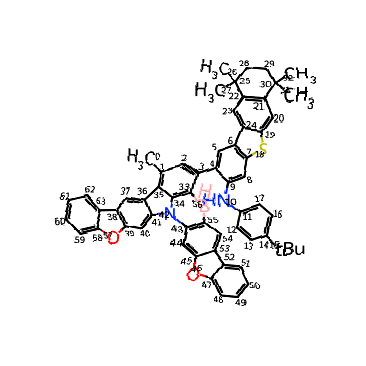 Cc1cc(-c2cc3c(cc2Nc2ccc(C(C)(C)C)cc2)sc2cc4c(cc23)C(C)(C)CCC4(C)C)c2c3c1c1cc4c(cc1n3-c1cc3oc5ccccc5c3cc1B2)oc1ccccc14